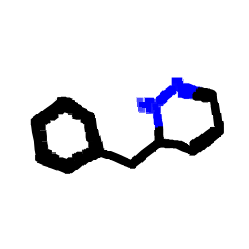 C1=CC(Cc2ccccc2)NN=C1